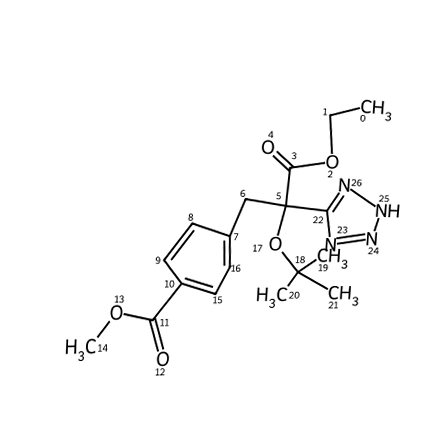 CCOC(=O)C(Cc1ccc(C(=O)OC)cc1)(OC(C)(C)C)c1nn[nH]n1